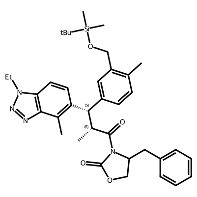 CCn1nnc2c(C)c([C@H](c3ccc(C)c(CO[Si](C)(C)C(C)(C)C)c3)[C@@H](C)C(=O)N3C(=O)OCC3Cc3ccccc3)ccc21